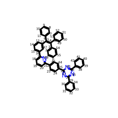 c1ccc(C(=C(c2ccccc2)c2cccc(-c3cccc(-c4ccc(-c5nc(-c6ccccc6)nc(-c6ccccc6)n5)cc4)n3)c2)c2ccccc2)cc1